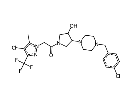 Cc1c(Cl)c(C(F)(F)F)nn1CC(=O)N1CC(O)C(N2CCN(Cc3ccc(Cl)cc3)CC2)C1